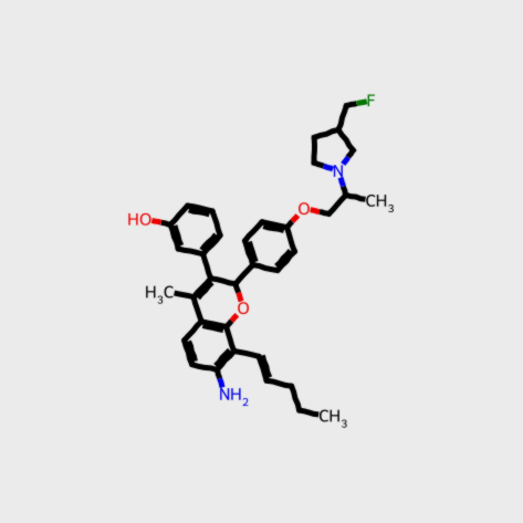 CCC/C=C/c1c(N)ccc2c1OC(c1ccc(OCC(C)N3CCC(CF)C3)cc1)C(c1cccc(O)c1)=C2C